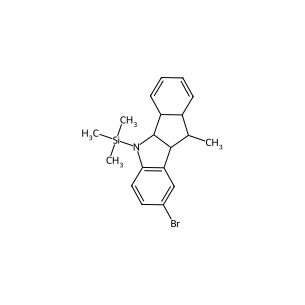 CC1C2C=CC=CC2C2C1c1cc(Br)ccc1N2[Si](C)(C)C